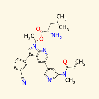 C=CC(=O)N(C)c1cncc(-c2cnc3c(c2)c(-c2cccc(C#N)c2)cn3C(C)OC(=O)[C@@H](N)CC(C)C)c1